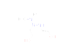 [CH2]CN(C)N(CCO)NCCO